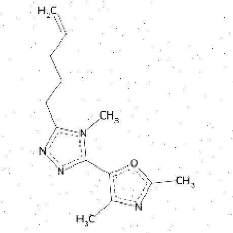 C=CCCCc1nnc(-c2oc(C)nc2C)n1C